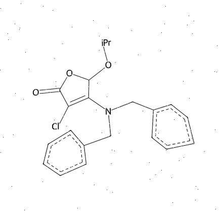 CC(C)OC1OC(=O)C(Cl)=C1N(Cc1ccccc1)Cc1ccccc1